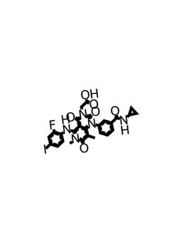 Cc1c(=O)n(C)c(Nc2ccc(I)cc2F)c2c(=O)n(CC(=O)O)c(=O)n(-c3cccc(C(=O)NC4CC4)c3)c12